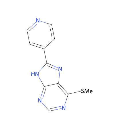 CSc1ncnc2[nH]c(-c3ccncc3)nc12